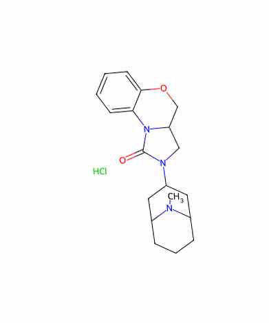 CN1C2CCCC1CC(N1CC3COc4ccccc4N3C1=O)C2.Cl